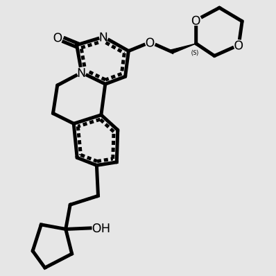 O=c1nc(OC[C@@H]2COCCO2)cc2n1CCc1cc(CCC3(O)CCCC3)ccc1-2